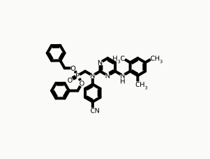 Cc1cc(C)c(Nc2ccnc(N(CP(=O)(OCc3ccccc3)OCc3ccccc3)c3ccc(C#N)cc3)n2)c(C)c1